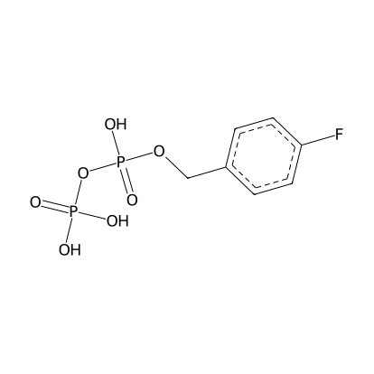 O=P(O)(O)OP(=O)(O)OCc1ccc(F)cc1